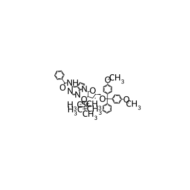 COc1ccc(C(OC[C@H]2[CH][C@@H](O[Si](C)(C)C(C)(C)C)[C@H](n3ccc4c(NC(=O)c5ccccc5)ncnc43)O2)(c2ccccc2)c2ccc(OC)cc2)cc1